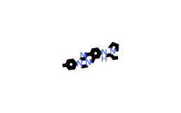 CCC(CNc1ccc(C#N)c(CN2CCN(c3ccc(C)cc3)CC2)c1)N1CCCC1